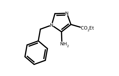 CCOC(=O)c1ncn(Cc2ccccc2)c1N